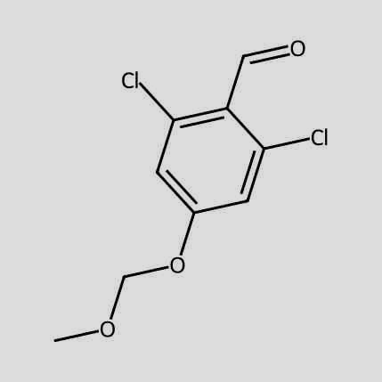 COCOc1cc(Cl)c(C=O)c(Cl)c1